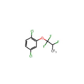 FC(C(F)(F)F)C(F)(F)Oc1cc(Cl)ccc1Cl